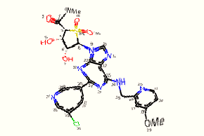 CNC(=O)[C@@H]1[C@@H](O)[C@@H](O)[C@H](n2cnc3c(NCc4cc(OC)ccn4)nc(-c4cncc(Cl)c4)nc32)S1(=O)=O